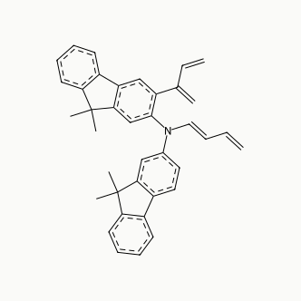 C=C/C=C/N(c1ccc2c(c1)C(C)(C)c1ccccc1-2)c1cc2c(cc1C(=C)C=C)-c1ccccc1C2(C)C